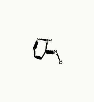 ON=c1cccn[nH]1